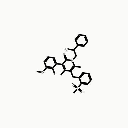 COc1cccc(-c2c(C)c(Cc3ccccc3S(C)(=O)=O)c(C)n(CC(N)c3ccccc3)c2=O)c1F